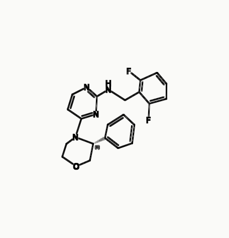 Fc1cccc(F)c1CNc1nccc(N2CCOC[C@H]2c2ccccc2)n1